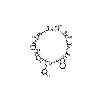 CCCCN1CC(=O)N(C)CC(=O)N(C)[C@@H](CC2CCCCC2)C(=O)N(C)CC(=O)N[C@@H](CCc2ccc(C(F)(F)F)c(Cl)c2)C(=O)N2CCC[C@H]2C(=O)NC2(CCCC2)C(=O)N(C)[C@@H](C(C)C)C(=O)N[C@H](C)CC(=O)N(C)[C@@H](CC(C)C)C(=O)N[C@@H]([C@@H](C)CC)C1=O